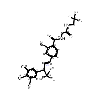 FC(F)(F)CNC(=S)CNC(=S)c1ccc(/C=C/C(c2cc(Cl)c(Cl)c(Cl)c2)C(F)(F)F)cc1Br